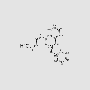 C/C=C\C=C/CCN(Cc1ccccc1)Cc1ccccc1